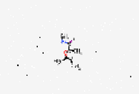 C=CC(=C)OC(=C)/C(I)=N/C